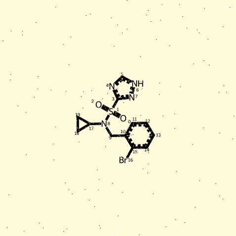 O=S(=O)(c1nc[nH]n1)N(Cc1ccccc1Br)C1CC1